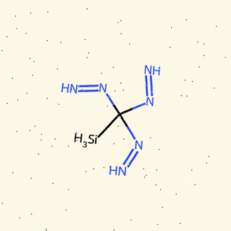 N=NC([SiH3])(N=N)N=N